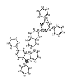 c1ccc(-c2ccc3c(c2)c2c(-c4ccc5ccc(-c6nc(-c7ccccc7)nc(-c7ccccc7)n6)cc5c4)cccc2n3-c2ccccc2)cc1